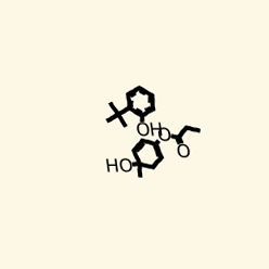 CC(C)(C)c1ccccc1O.CCC(=O)OC1=CCC(C)(O)C=C1